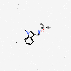 CC(C)[SiH](ON=Cc1cn(C)c2ccccc12)C(C)C